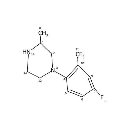 CC1CN(c2ccc(F)cc2C(F)(F)F)CCN1